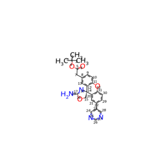 CC(C)(C)OC(=O)Cc1ccc2c(c1)[C@]1(COC(N)=N1)c1cc(-c3cncnc3)ccc1O2